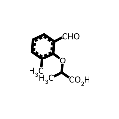 Cc1cccc(C=O)c1OC(C)C(=O)O